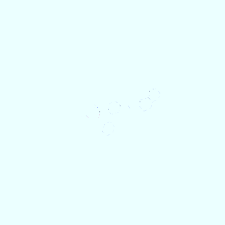 CSCC[C@H](NC(=O)c1ccc(C=Cc2ccc3ccccc3c2)cc1-c1ccccc1C)C(=O)O